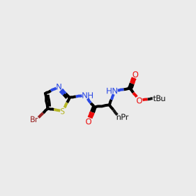 CCCC(NC(=O)OC(C)(C)C)C(=O)Nc1ncc(Br)s1